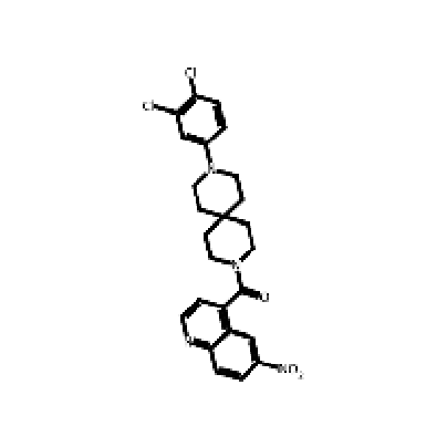 O=C(c1ccnc2ccc([N+](=O)[O-])cc12)N1CCC2(CC1)CCN(c1ccc(Cl)c(Cl)c1)CC2